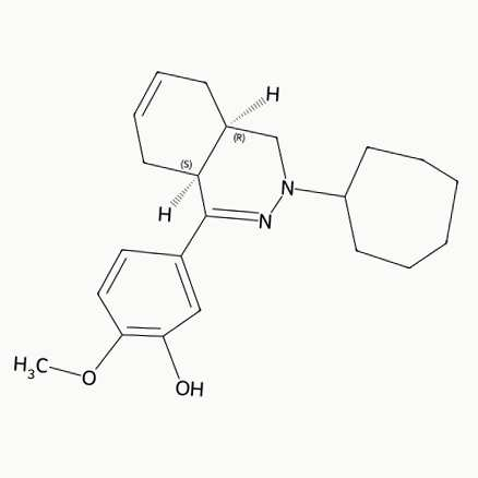 COc1ccc(C2=NN(C3CCCCCC3)C[C@@H]3CC=CC[C@H]23)cc1O